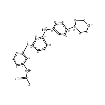 CC(=O)Nc1cccc(Sc2ccnc(Nc3ccc(N4CCOCC4)cc3)n2)c1